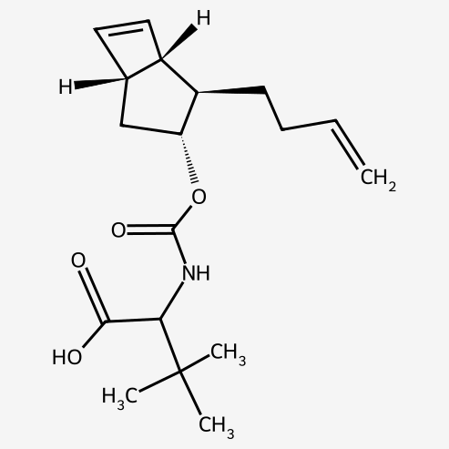 C=CCC[C@@H]1[C@H]2C=C[C@H]2C[C@H]1OC(=O)NC(C(=O)O)C(C)(C)C